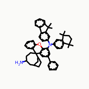 CC1(C)CCC(C)(C)c2cc(N(c3ccc4c(c3)C(C)(C)c3ccccc3-4)c3cc(-c4ccccc4)cc4c3Oc3ccccc3C43CCC(N)CC4CCC3C4)ccc21